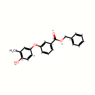 Cc1cc(Oc2cccc(C(=O)OCc3ccccc3)c2)ccc1O